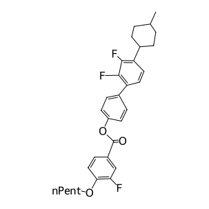 CCCCCOc1ccc(C(=O)Oc2ccc(-c3ccc(C4CCC(C)CC4)c(F)c3F)cc2)cc1F